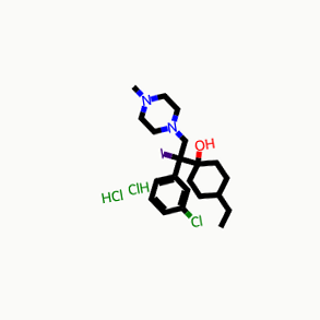 CCC1CCC(O)(C(I)(CN2CCN(C)CC2)c2cccc(Cl)c2)CC1.Cl.Cl